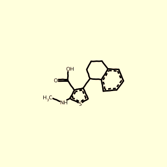 CNc1scc(C2CCCc3ccccc32)c1C(=O)O